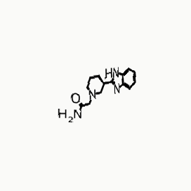 NC(=O)CN1CCCC(c2nc3ccccc3[nH]2)C1